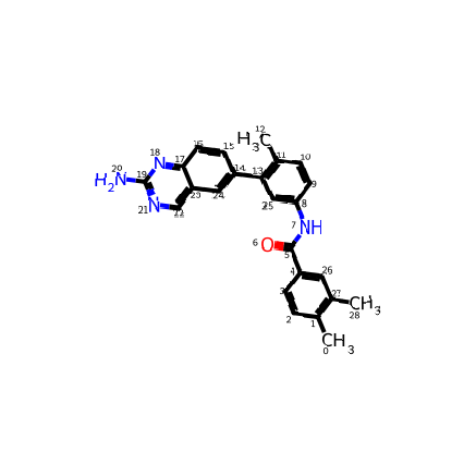 Cc1ccc(C(=O)Nc2ccc(C)c(-c3ccc4nc(N)ncc4c3)c2)cc1C